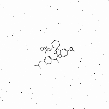 COc1cccc([C@@]2(OC(=O)C(C)c3ccc(CC(C)C)cc3)CCCC[C@@H]2C[N+](C)(C)[O-])c1